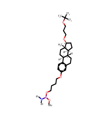 CCCCOP(OCCCCOc1ccc2c(c1)CC[C@@H]1[C@@H]2CC[C@]2(C)[C@@H](OCCCOC(C(F)(F)F)(C(F)(F)F)C(F)(F)F)CC[C@@H]12)N(C(C)C)C(C)C